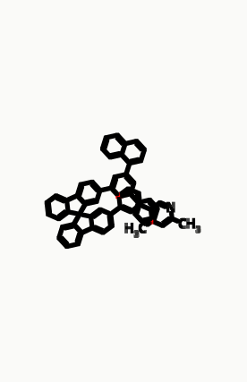 Cc1cc(C)c(-c2cccc(-c3ccc4c(c3)C3(c5ccccc5-4)c4ccccc4-c4ccc(-c5cc(-c6ccccc6)cc(-c6cccc7ccccc67)c5)cc43)c2)cn1